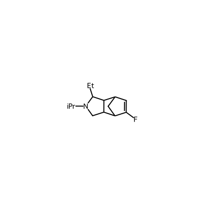 CCC1C2C3C=C(F)C(C3)C2CN1C(C)C